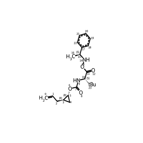 C=CC[C@@H]1C[C@H]1OC(=O)N[C@H](C(=O)ON[C@@H](C)c1ccccc1)C(C)(C)C